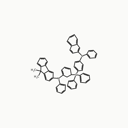 CC1(C)c2ccccc2-c2cc(N(C3=CC=CC([Si](c4ccccc4)(c4ccccc4)c4ccc(N(c5ccccc5)c5ccc6ccccc6c5)cc4)C3)c3ccccc3)ccc21